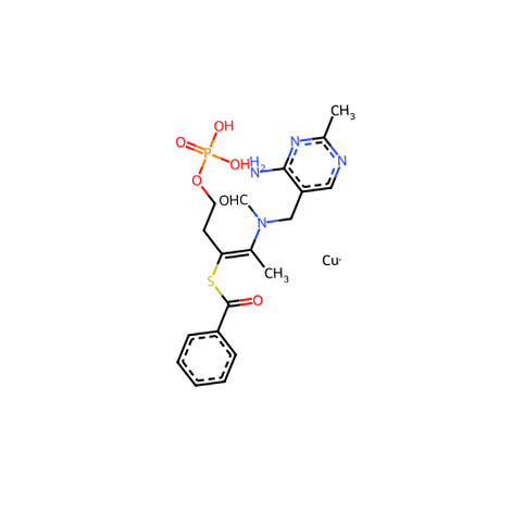 CC(=C(CCOP(=O)(O)O)SC(=O)c1ccccc1)N(C=O)Cc1cnc(C)nc1N.[Cu]